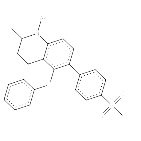 CC(=O)N1c2ccc(-c3ccc(S(C)(=O)=O)cc3)c(Oc3ccccc3)c2CCC1C